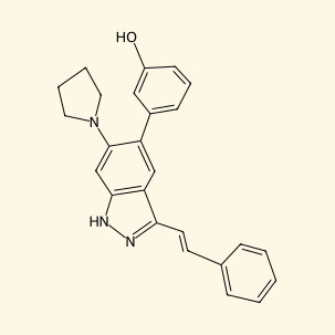 Oc1cccc(-c2cc3c(C=Cc4ccccc4)n[nH]c3cc2N2CCCC2)c1